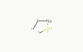 CS.C[CH2][Na]